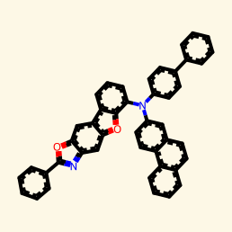 c1ccc(-c2ccc(N(c3ccc4c(ccc5ccccc54)c3)c3cccc4c3oc3cc5nc(-c6ccccc6)oc5cc34)cc2)cc1